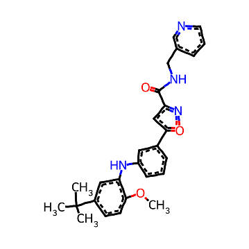 COc1ccc(C(C)(C)C)cc1Nc1cccc(-c2cc(C(=O)NCc3cccnc3)no2)c1